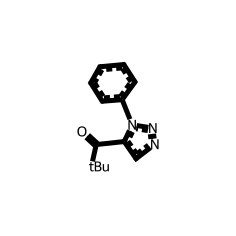 CC(C)(C)C(=O)c1cnnn1-c1ccccc1